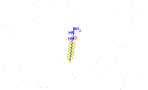 NCCNCCC(=O)NCC(=S)C(=S)C(=S)C(=S)C(=S)C(=S)C(=S)C(=S)C(=S)C(=S)C(=S)C(=S)C(=S)C=S